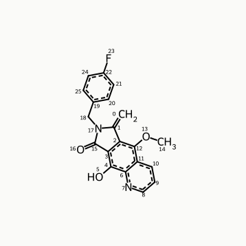 C=C1c2c(c(O)c3ncccc3c2OC)C(=O)N1Cc1ccc(F)cc1